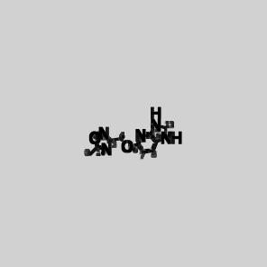 Cc1nc(COc2ccc3c(n2)NCN3)no1